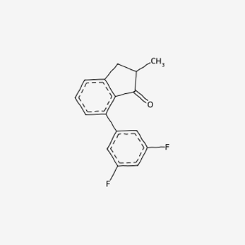 CC1Cc2cccc(-c3cc(F)cc(F)c3)c2C1=O